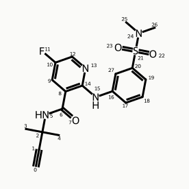 C#CC(C)(C)NC(=O)c1cc(F)cnc1Nc1cccc(S(=O)(=O)N(C)C)c1